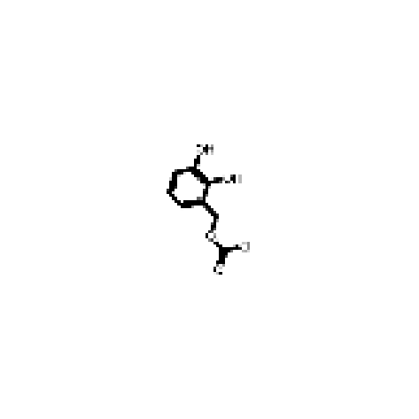 O=C(Cl)OCc1cccc(O)c1O